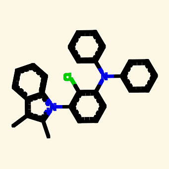 Cc1c(C)n(-c2cccc(N(c3ccccc3)c3ccccc3)c2Cl)c2ccccc12